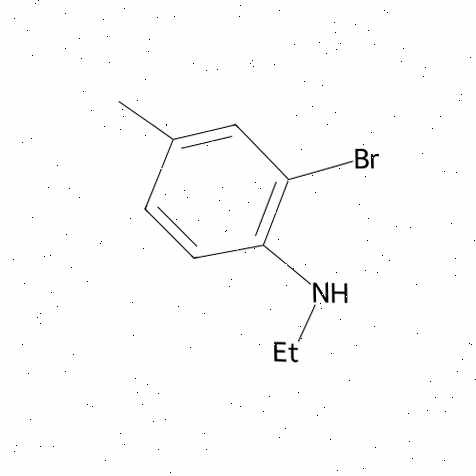 CCNc1ccc(C)cc1Br